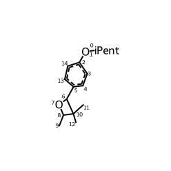 CCCC(C)Oc1ccc(C2OC(C)C2(C)C)cc1